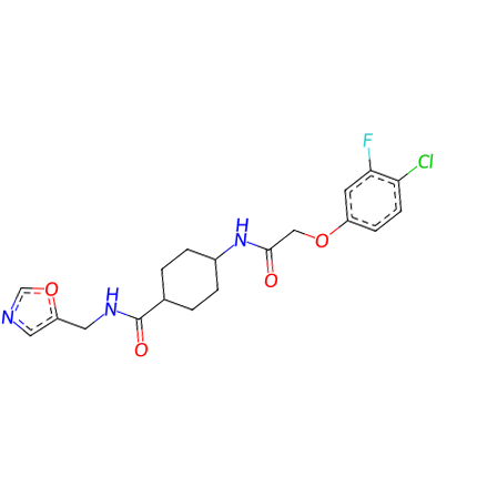 O=C(COc1ccc(Cl)c(F)c1)NC1CCC(C(=O)NCc2cnco2)CC1